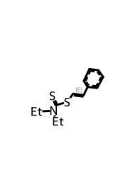 CCN(CC)C(=S)S/C=C/c1ccccc1